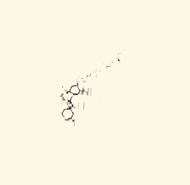 CCOCCOCCOCCOc1cc2ncnc(Nc3cccc(I)c3)c2cc1N